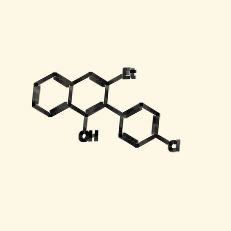 CCc1cc2ccccc2c(O)c1-c1ccc(Cl)cc1